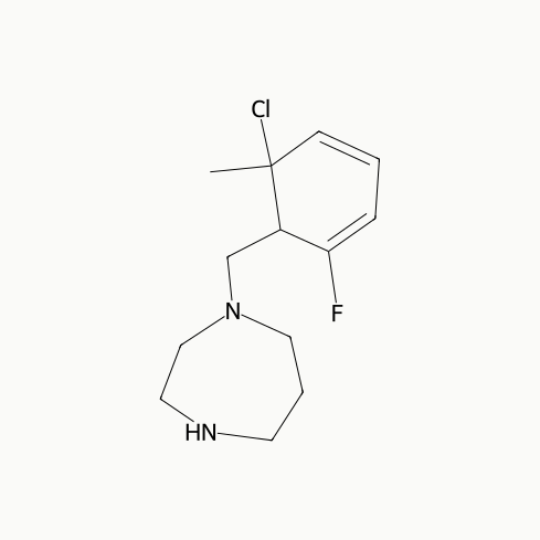 CC1(Cl)C=CC=C(F)C1CN1CCCNCC1